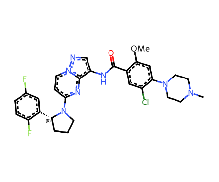 COc1cc(N2CCN(C)CC2)c(Cl)cc1C(=O)Nc1cnn2ccc(N3CCC[C@@H]3c3cc(F)ccc3F)nc12